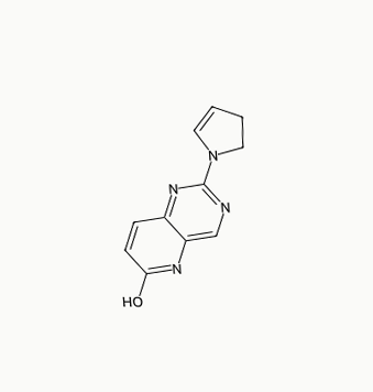 Oc1ccc2nc(N3C=CCC3)ncc2n1